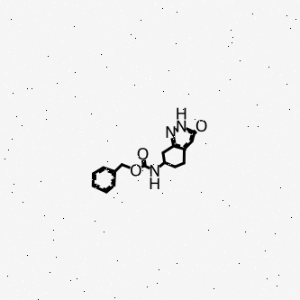 O=C(NC1CCc2cc(=O)[nH]nc2C1)OCc1ccccc1